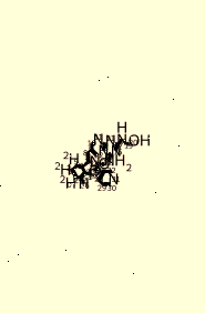 [2H]c1c([2H])c([2H])c(-c2cc(/C=N\c3nc(N)nc(NCO)n3)cn2S(=O)(=O)c2cccnc2)c(F)c1[2H]